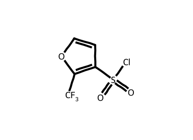 O=S(=O)(Cl)c1ccoc1C(F)(F)F